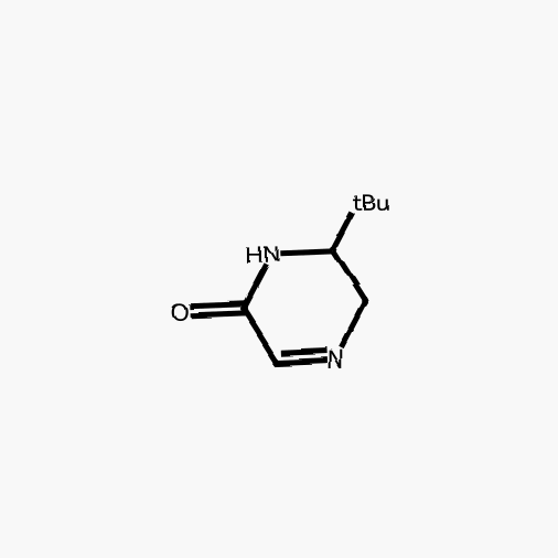 CC(C)(C)C1CN=CC(=O)N1